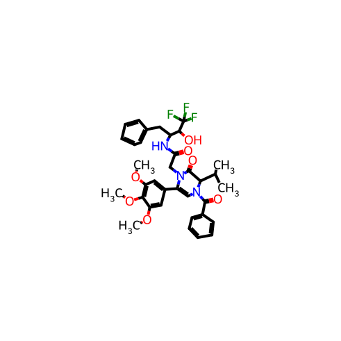 COc1cc(C2=CN(C(=O)c3ccccc3)C(C(C)C)C(=O)N2CC(=O)NC(Cc2ccccc2)C(O)C(F)(F)F)cc(OC)c1OC